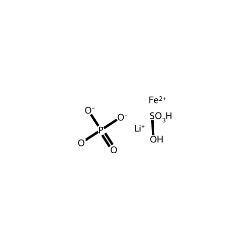 O=P([O-])([O-])[O-].O=S(=O)(O)O.[Fe+2].[Li+]